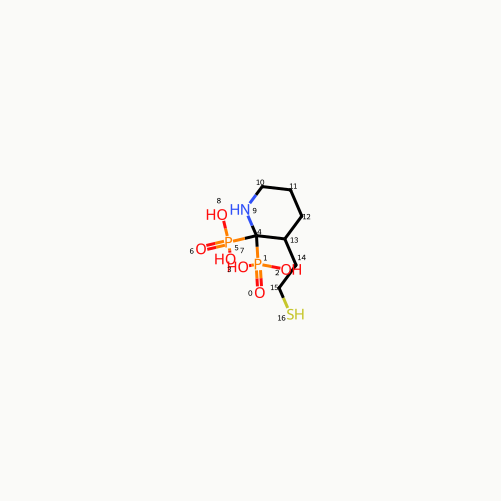 O=P(O)(O)C1(P(=O)(O)O)NCCCC1CCS